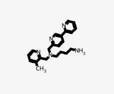 Cc1cccnc1CN(CCCCN)Cc1ccc(-c2ccccn2)cn1